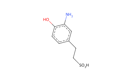 Nc1cc(CCS(=O)(=O)O)ccc1O